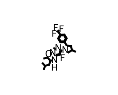 CC(=O)C(CC(C)C)Nc1ncnc(N2CC(C)CC2c2ccc(C(F)(F)F)cc2)c1F